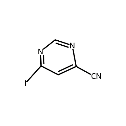 N#Cc1cc(I)ncn1